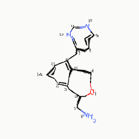 NCC1OCc2c(-c3ccncn3)cccc21